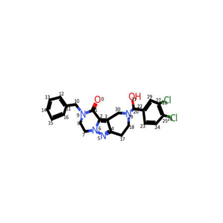 O=C1c2c3c(nn2CCN1Cc1ccccc1)CCN(C(O)c1ccc(Cl)c(Cl)c1)C3